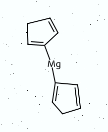 C1=C[C]([Mg][C]2=CCC=C2)=CC1